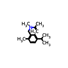 C=C(C)N(C)Cc1cc(C(C)C)ccc1C